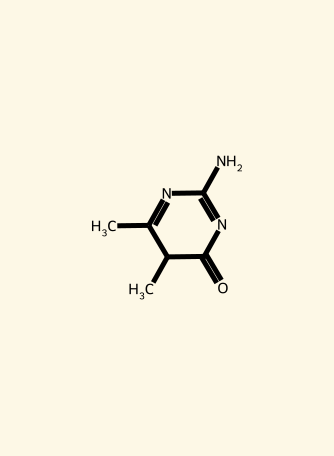 CC1=NC(N)=NC(=O)C1C